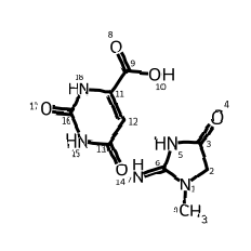 CN1CC(=O)NC1=N.O=C(O)c1cc(=O)[nH]c(=O)[nH]1